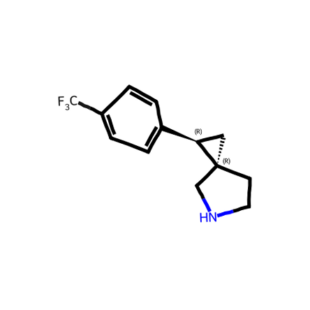 FC(F)(F)c1ccc([C@H]2C[C@@]23CCNC3)cc1